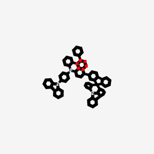 c1ccc(-c2ccccc2-c2ccccc2N(c2ccc(-n3c4ccccc4c4ccccc43)cc2)c2ccc(-c3ccc4c(c3)C3(c5ccccc5-4)c4ccccc4-n4c5ccccc5c5cccc3c54)c3ccccc23)cc1